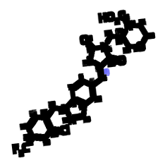 O=C1S/C(=C\c2ccc3c(cnn3Cc3ccc(C(F)(F)F)cc3Cl)c2)C(=O)N1C[C@@H]1COCCN1C(=O)O